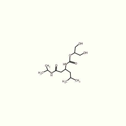 CC(C)CC(CC(=O)NC(C)C)NC(=O)OC(CO)CO